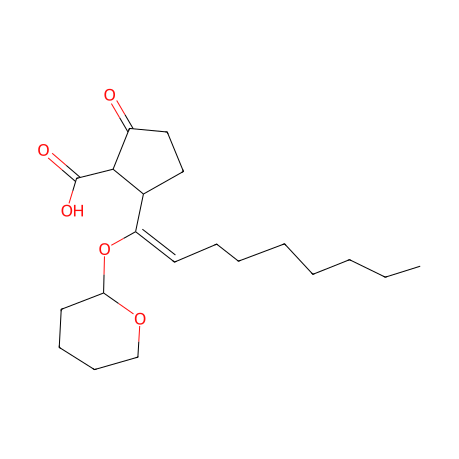 CCCCCCCC=C(OC1CCCCO1)C1CCC(=O)C1C(=O)O